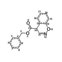 O=C(OCc1ccccc1)C1C=NOc2ccccc21